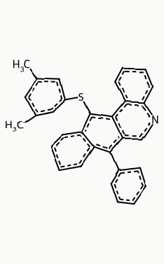 Cc1cc(C)cc(Sc2c3ccccc3c(-c3ccccc3)c3cnc4ccccc4c23)c1